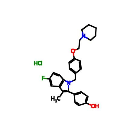 Cc1c(-c2ccc(O)cc2)n(Cc2ccc(OCCN3CCCCC3)cc2)c2ccc(F)cc12.Cl